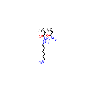 C=CC(N)=O.C=CC(N)=O.NCCCCCCN